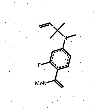 C=CC(C)(C)N(C)c1ccc(C(=C)NC)c(F)c1